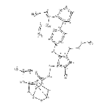 C=NN/C(=N\N)c1ccccc1-c1ccc(Cn2c(CCCC)nc(Cl)c2COC(=O)C23CC4CC(CC(ON(O)O)(C4)C2)C3)cc1